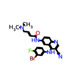 CN(C)CC=CC(=O)Nc1ccc2ncc(C#N)c(Nc3ccc(F)c(Br)c3)c2c1